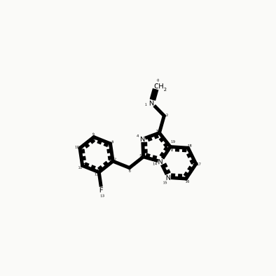 C=NCc1nc(Cc2ccccc2F)n2ncccc12